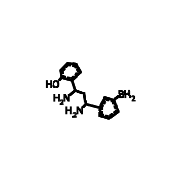 Bc1cccc(C(N)CC(N)c2ccccc2O)c1